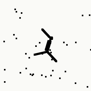 CP=C(C)C